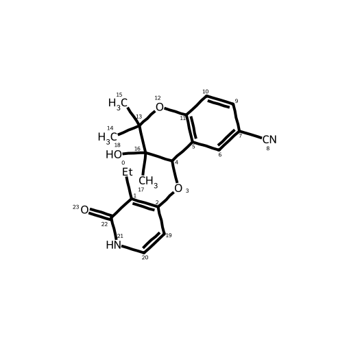 CCc1c(OC2c3cc(C#N)ccc3OC(C)(C)C2(C)O)cc[nH]c1=O